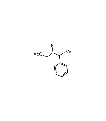 CCC(COC(C)=O)C(OC(C)=O)c1ccccc1